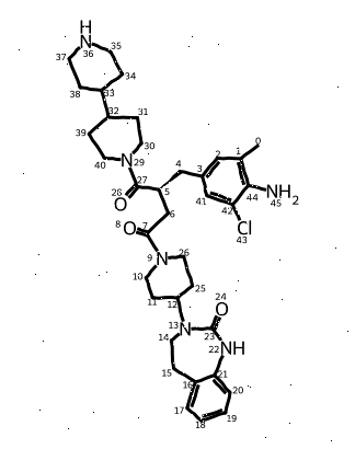 Cc1cc(C[C@@H](CC(=O)N2CCC(N3CCc4ccccc4NC3=O)CC2)C(=O)N2CCC(C3CCNCC3)CC2)cc(Cl)c1N